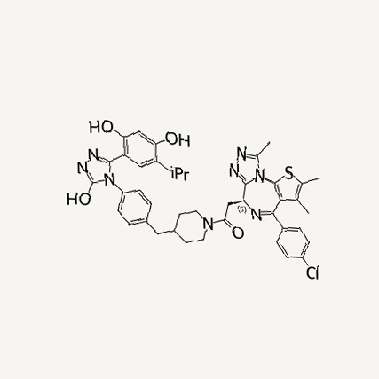 Cc1sc2c(c1C)C(c1ccc(Cl)cc1)=N[C@@H](CC(=O)N1CCC(Cc3ccc(-n4c(O)nnc4-c4cc(C(C)C)c(O)cc4O)cc3)CC1)c1nnc(C)n1-2